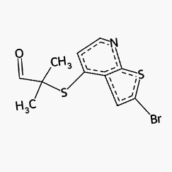 CC(C)(C=O)Sc1ccnc2sc(Br)cc12